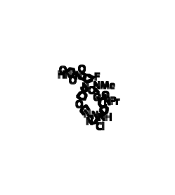 CNC(=O)COc1cc2cc(Nc3nc(N4CCC(OC5CCC6(CC5)CN(c5cc(F)cc7c5CN([C@@H]5CCC(=O)NC5=O)C7=O)C6)CC4)ncc3Cl)ccc2n(C(C)C)c1=O